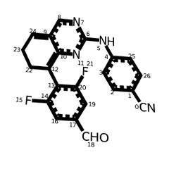 N#Cc1ccc(Nc2ncc3c(n2)=C(c2c(F)cc(C=O)cc2F)CCC=3)cc1